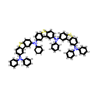 C1=CCCC(N(c2ccc3sc4ccc(N(c5ccccc5)c5ccccc5)cc4c3c2)c2ccc3sc4ccc(N(c5ccccc5)c5ccc6sc7ccc(N(c8ccccc8)c8ccccc8)cc7c6c5)cc4c3c2)=C1